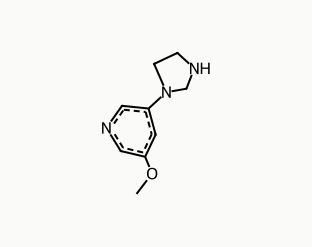 COc1cncc(N2CCNC2)c1